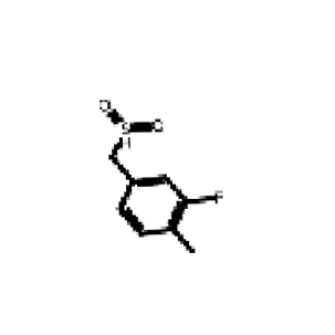 Cc1ccc(C[SH](=O)=O)cc1F